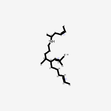 C/C=C\CC(C)NCCCC(C)C(/C=C(\C)F)CCC/C=C/C